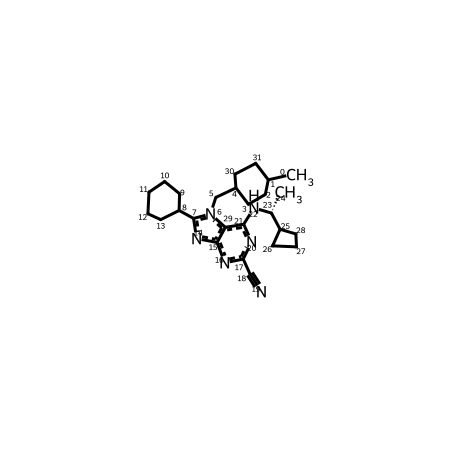 CC1CCC(Cn2c(C3CCCCC3)nc3nc(C#N)nc(N[C@H](C)C4CCC4)c32)CC1